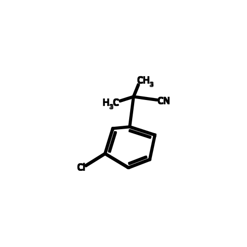 CC(C)(C#N)c1cccc(Cl)c1